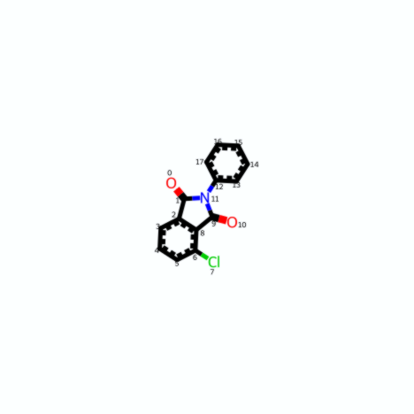 O=C1c2cccc(Cl)c2C(=O)N1c1ccccc1